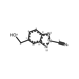 N#Cn1nc2ccc(CO)cc2n1